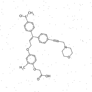 Cc1cc(OC/C=C(\c2ccc(C#CCN3CCOCC3)cc2)c2ccc([S+](C)[O-])cc2)ccc1OCC(=O)O